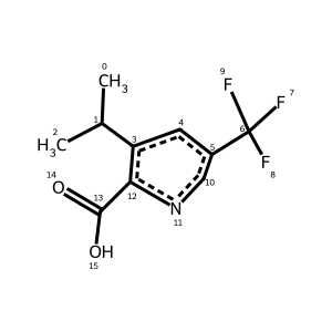 CC(C)c1cc(C(F)(F)F)cnc1C(=O)O